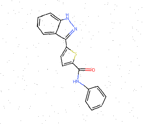 O=C(Nc1ccccc1)c1ccc(-c2n[nH]c3ccccc23)s1